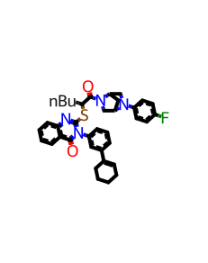 CCCCC(Sc1nc2ccccc2c(=O)n1-c1cccc(C2=CCCCC2)c1)C(=O)N1CC2CC1CN2c1ccc(F)cc1